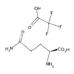 NC(=O)CC[C@H](N)C(=O)O.O=C(O)C(F)(F)F